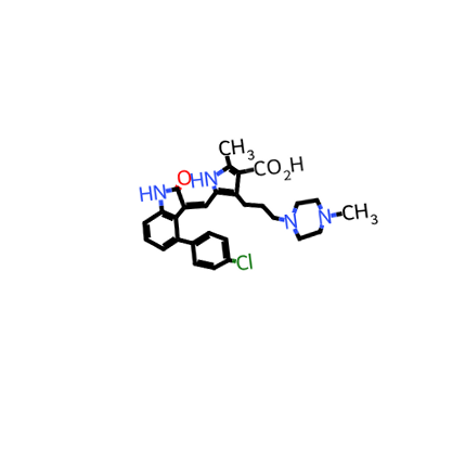 Cc1[nH]c(C=C2C(=O)Nc3cccc(-c4ccc(Cl)cc4)c32)c(CCCN2CCN(C)CC2)c1C(=O)O